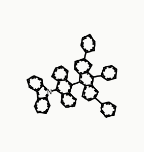 c1ccc(-c2ccc3c(-c4c5ccccc5c(-n5c6ccccc6c6ccccc65)c5ccccc45)c4ccc(-c5ccccc5)cc4c(-c4ccccc4)c3c2)cc1